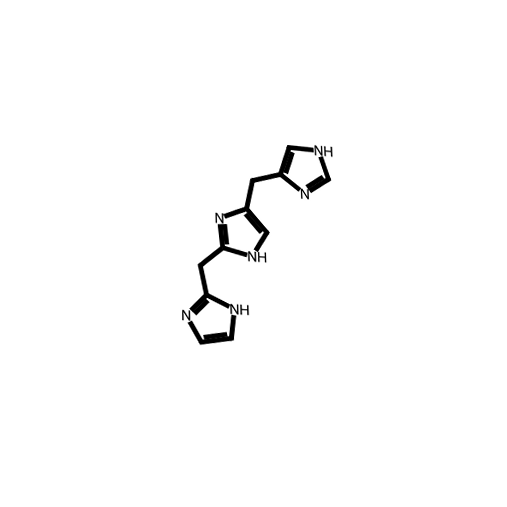 c1c[nH]c(Cc2nc(Cc3c[nH]cn3)c[nH]2)n1